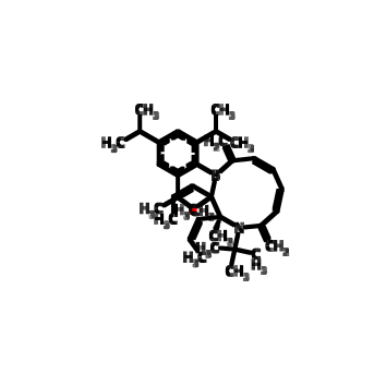 C=C1/C=C\C=C/C(=C)N(C(C)(C)C)[C@](C)(/C=C\C)C(C)(/C=C\C)B1c1c(C(C)C)cc(C(C)C)cc1C(C)C